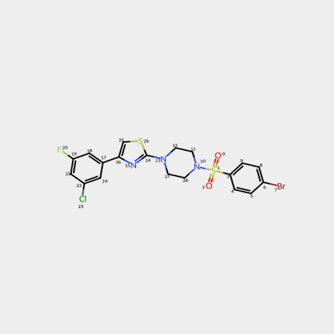 O=S(=O)(c1ccc(Br)cc1)N1CCN(c2nc(-c3cc(F)cc(Cl)c3)cs2)CC1